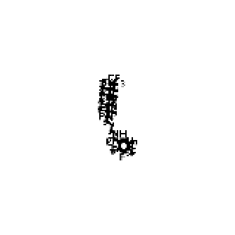 O=C(NCCCC(F)(F)C(F)(F)C(F)(F)C(F)(F)C(F)(F)C(F)(F)C(F)(F)C(F)(F)F)c1cc(F)c(F)c(F)c1F